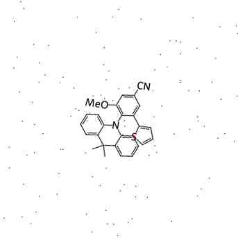 COc1cc(C#N)cc(-c2cccs2)c1N1c2ccccc2C(C)(C)c2ccccc21